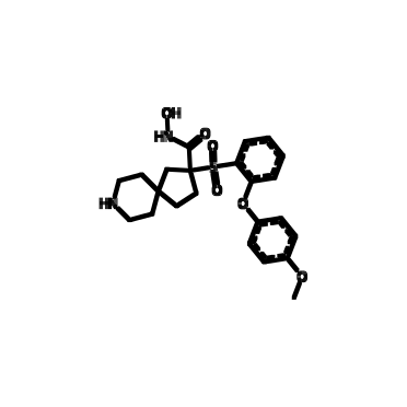 COc1ccc(Oc2ccccc2S(=O)(=O)C2(C(=O)NO)CCC3(CCNCC3)C2)cc1